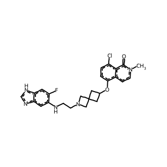 Cn1ccc2c(OC3CC4(C3)CN(CCNc3cc5nc[nH]c5cc3F)C4)ccc(Cl)c2c1=O